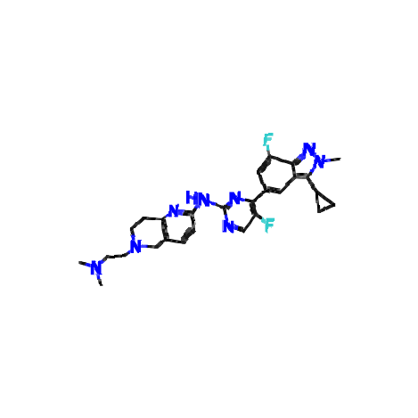 CN(C)CCN1CCc2nc(Nc3ncc(F)c(-c4cc(F)c5nn(C)c(C6CC6)c5c4)n3)ccc2C1